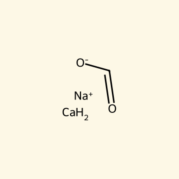 O=C[O-].[CaH2].[Na+]